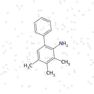 Cc1cc(-c2ccccc2)c(N)c(C)c1C